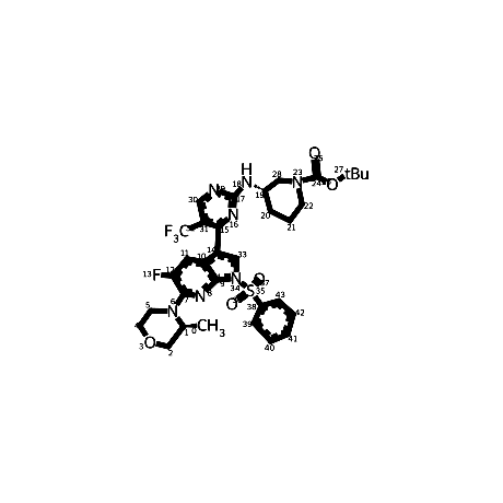 C[C@H]1COCCN1c1nc2c(cc1F)c(-c1nc(N[C@H]3CCCN(C(=O)OC(C)(C)C)C3)ncc1C(F)(F)F)cn2S(=O)(=O)c1ccccc1